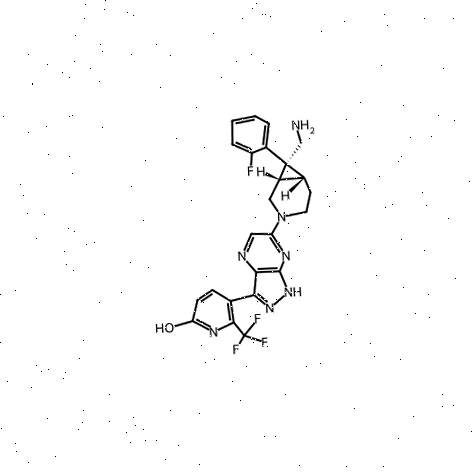 NC[C@]1(c2ccccc2F)[C@@H]2CCN(c3cnc4c(-c5ccc(O)nc5C(F)(F)F)n[nH]c4n3)C[C@@H]21